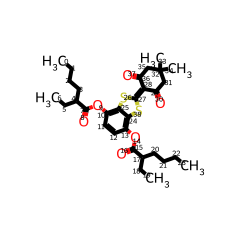 CCCCC(CC)C(=O)Oc1ccc(OC(=O)C(CC)CCCC)c2c1SC(=C1C(=O)CC(C)(C)CC1=O)S2